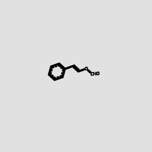 O=COC=Cc1ccccc1